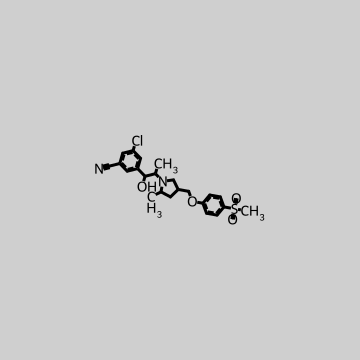 CC1CC(COc2ccc(S(C)(=O)=O)cc2)CN1C(C)C(O)c1cc(Cl)cc(C#N)c1